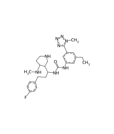 CCc1cc(NC(=O)NC(CCc2ccc(F)cc2)C2CNCCC2NC)cc(-c2nnnn2C)c1